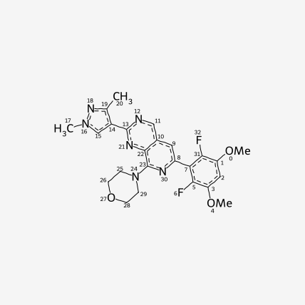 COc1cc(OC)c(F)c(-c2cc3cnc(-c4cn(C)nc4C)nc3c(N3CCOCC3)n2)c1F